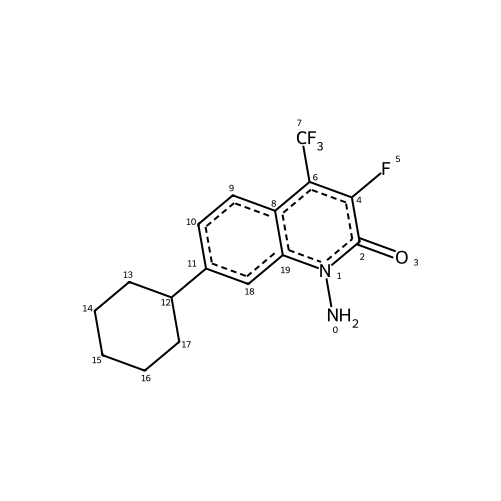 Nn1c(=O)c(F)c(C(F)(F)F)c2ccc(C3CCCCC3)cc21